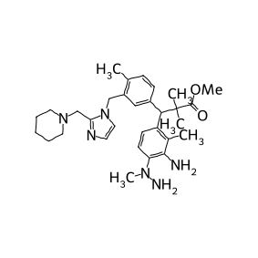 COC(=O)C(C)(C)C(c1ccc(C)c(Cn2ccnc2CN2CCCCC2)c1)c1ccc(N(C)N)c(N)c1C